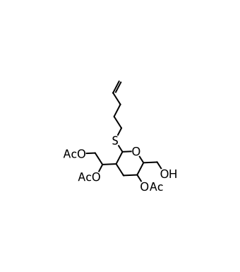 C=CCCCSC1OC(CO)C(OC(C)=O)CC1C(COC(C)=O)OC(C)=O